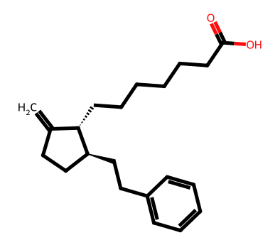 C=C1CC[C@H](CCc2ccccc2)[C@H]1CCCCCCC(=O)O